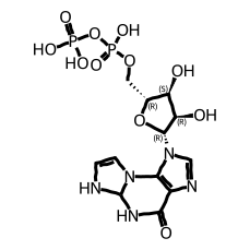 O=C1NC2NC=CN2c2c1ncn2[C@@H]1O[C@H](COP(=O)(O)OP(=O)(O)O)[C@@H](O)[C@H]1O